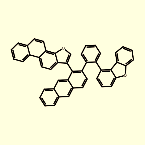 c1ccc(-c2cccc3oc4ccccc4c23)c(-c2ccc3cc4ccccc4cc3c2-c2coc3c2ccc2c4ccccc4ccc23)c1